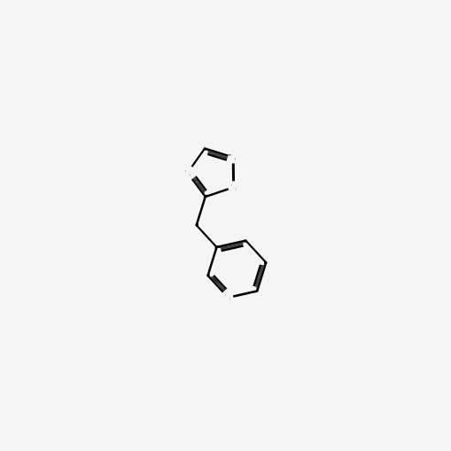 c1cncc(Cc2ncn[nH]2)c1